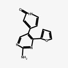 Nc1ncc(-c2cc[nH]c(=O)c2)c(-c2ccco2)n1